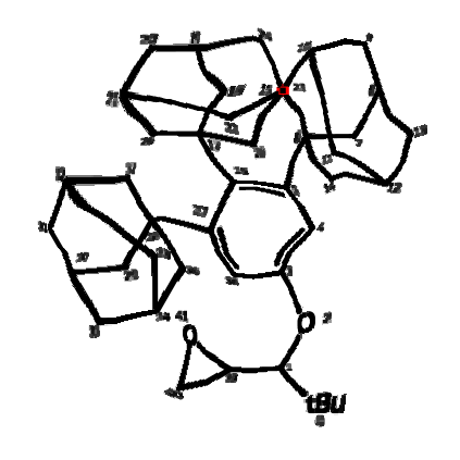 CC(C)(C)C(Oc1cc(C23CC4CC(CC(C4)C2)C3)c(C23CC4CC(CC(C4)C2)C3)c(C23CC4CC(CC(C4)C2)C3)c1)C1CO1